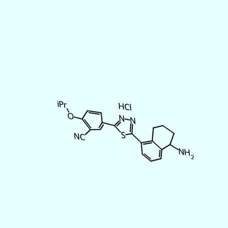 CC(C)Oc1ccc(-c2nnc(-c3cccc4c3CCCC4N)s2)cc1C#N.Cl